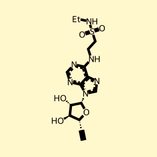 C#C[C@H]1O[C@@H](n2cnc3c(NCCS(=O)(=O)NCC)ncnc32)[C@@H](O)[C@@H]1O